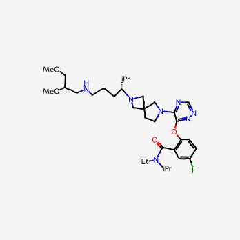 CCN(C(=O)c1cc(F)ccc1Oc1nncnc1N1CCC2(C1)CN([C@H](CCCNCC(COC)OC)C(C)C)C2)C(C)C